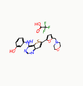 O=C(O)C(F)(F)F.Oc1cccc(Nc2ncnc3cc(-c4ccc(CN5CCOCC5)o4)sc23)c1